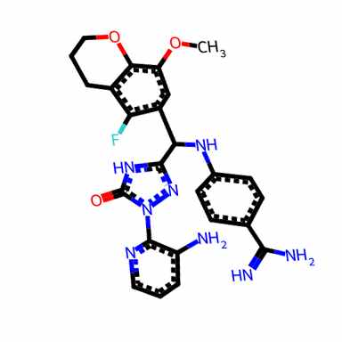 COc1cc(C(Nc2ccc(C(=N)N)cc2)c2nn(-c3ncccc3N)c(=O)[nH]2)c(F)c2c1OCCC2